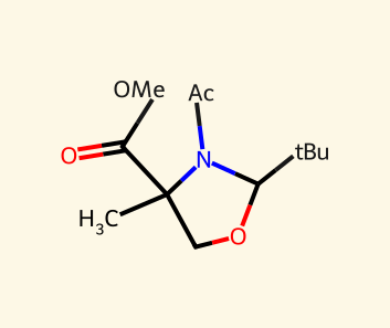 COC(=O)C1(C)COC(C(C)(C)C)N1C(C)=O